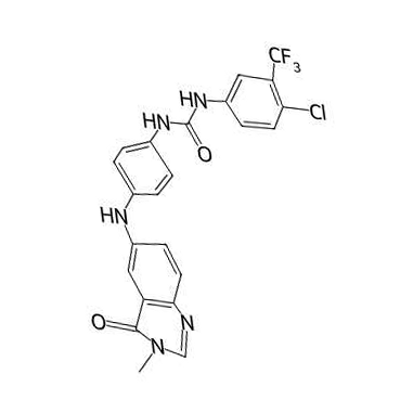 Cn1cnc2ccc(Nc3ccc(NC(=O)Nc4ccc(Cl)c(C(F)(F)F)c4)cc3)cc2c1=O